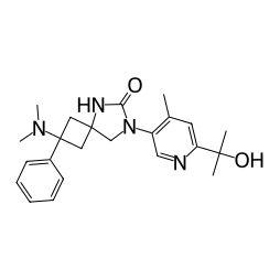 Cc1cc(C(C)(C)O)ncc1N1CC2(CC(c3ccccc3)(N(C)C)C2)NC1=O